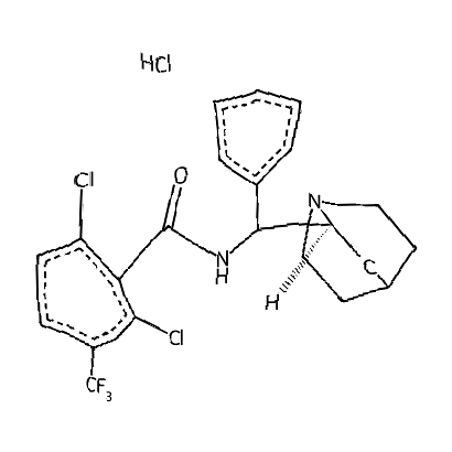 Cl.O=C(NC(c1ccccc1)[C@@H]1CC2CCN1CC2)c1c(Cl)ccc(C(F)(F)F)c1Cl